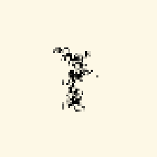 C[C@@H](NC(=O)[C@H](COC(C)(C)C)NC(=O)CCC(=O)OC(C)(C)C)C(=O)N1CCC[C@H]1C(=O)Nc1ccn(C2OC(CO)C(O)C2(F)F)c(=O)n1